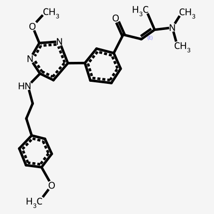 COc1ccc(CCNc2cc(-c3cccc(C(=O)/C=C(\C)N(C)C)c3)nc(OC)n2)cc1